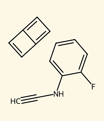 C#CNc1ccccc1F.c1cc2ccc1-2